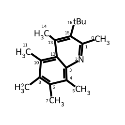 Cc1nc2c(C)c(C)c(C)c(C)c2c(C)c1C(C)(C)C